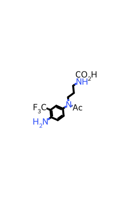 CC(=O)N(CCCNC(=O)O)c1ccc(N)c(C(F)(F)F)c1